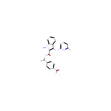 COC(=O)c1ccc(C(C)NC(=O)c2c(Nc3cccc(C)n3)c3ccccc3n2C)cc1